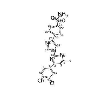 Cc1cc(-c2ccc(Cl)c(Cl)c2)nc(-n2cnc(-c3ccc(S(N)(=O)=O)cc3)c2)n1